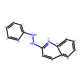 c1ccc(NNc2ccc3ccccc3n2)cc1